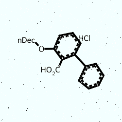 CCCCCCCCCCOc1cccc(-c2ccccc2)c1C(=O)O.Cl